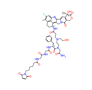 CC[C@@]1(O)C(=O)OCc2c1cc1n(c2=O)Cc2c-1nc1cc(F)c(C)c3c1c2[C@@H](NC(=O)CCN(CCO)CCN(CC(N)=O)C(=O)[C@H](Cc1ccccc1)NC(=O)CNC(=O)CNC(=O)CCCCCN1C(=O)C=CC1=O)CC3